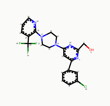 OCc1nc(-c2cccc(Cl)c2)cc(N2CCN(c3ncccc3C(F)(F)F)CC2)n1